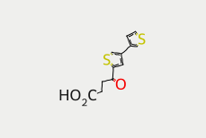 O=C(O)CCC(=O)c1cc(-c2ccsc2)cs1